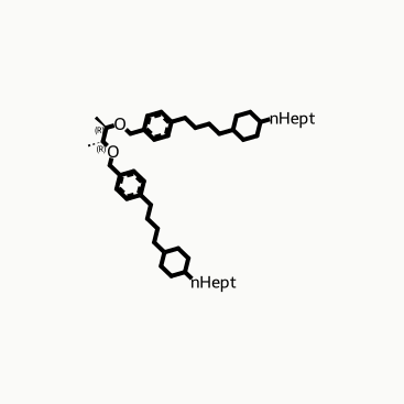 CCCCCCCC1CCC(CCCCc2ccc(CO[C@H](C)[C@@H](C)OCc3ccc(CCCCC4CCC(CCCCCCC)CC4)cc3)cc2)CC1